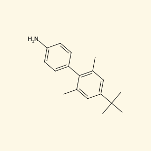 Cc1cc(C(C)(C)C)cc(C)c1-c1ccc(N)cc1